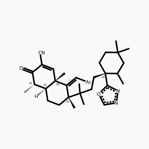 CC(=O)/C=C1/[C@@]2(C)C=C(C#N)C(=O)[C@@H](C)[C@@H]2CC[C@@]1(C)C(C)(C)CC[C@@]1(c2nnco2)CCC(C)(C)CC1C